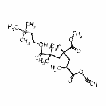 C#COC(=O)C(C)CC(C)(CC(C)(C)C(=O)OCC[N+](C)(C)C)C(=O)OC